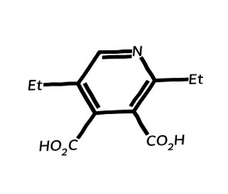 CCc1cnc(CC)c(C(=O)O)c1C(=O)O